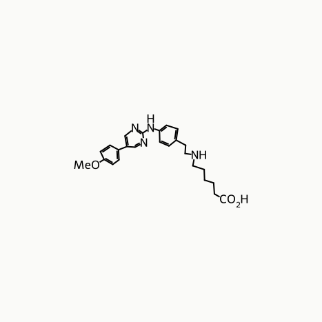 COc1ccc(-c2cnc(Nc3ccc(CCNCCCCCC(=O)O)cc3)nc2)cc1